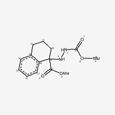 COC(=O)C1(NNC(=O)OC(C)(C)C)CCCc2ccccc21